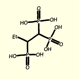 CCC(C(P(=O)(O)O)P(=O)(O)O)P(=O)(O)O